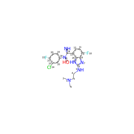 CN(C)CCNc1nc2c(F)ccc(C(=N)N(O)c3ccc(F)c(Cl)c3)c2[nH]1